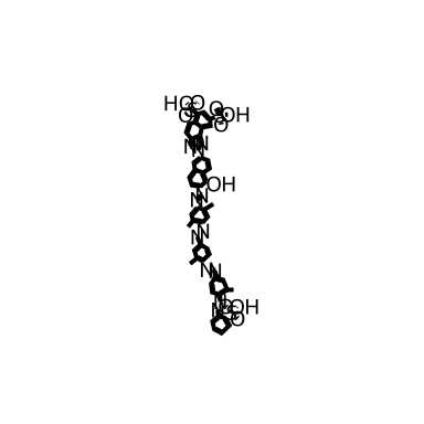 Cc1cc(N=Nc2cc(C)c(N=Nc3ccc4cc(-n5nc6ccc7c(S(=O)(=O)O)cc(S(=O)(=O)O)cc7c6n5)ccc4c3O)cc2C)ccc1N=Nc1ccc(N=Nc2ccccc2S(=O)(=O)O)c(C)c1